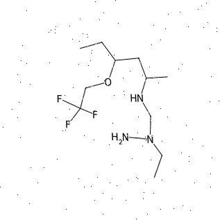 CCC(CC(C)NCN(N)CC)OCC(F)(F)F